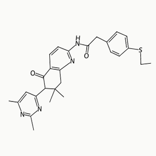 CCSc1ccc(CC(=O)Nc2ccc3c(n2)CC(C)(C)C(c2cc(C)nc(C)n2)C3=O)cc1